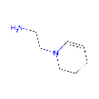 NCCN1C=CCCC1